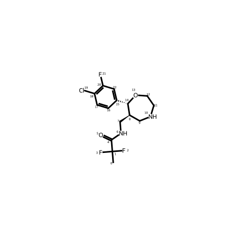 CC(F)(F)C(=O)NC[C@@H]1CNCCO[C@H]1c1ccc(Cl)c(F)c1